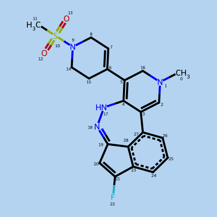 CN1C=C2C(=C(C3=CCN(S(C)(=O)=O)CC3)C1)NN=C1C=C(F)c3cccc2c31